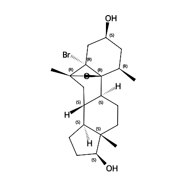 C[C@@H]1C[C@H](O)C[C@@]2(Br)[C@]13CO[C@]2(C)C[C@H]1[C@@H]2CC[C@H](O)[C@@]2(C)CC[C@@H]13